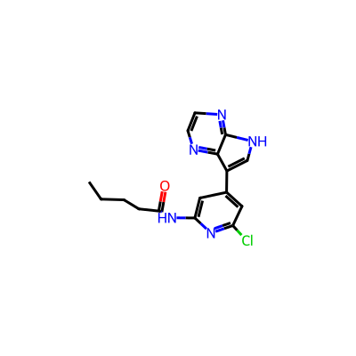 CCCCC(=O)Nc1cc(-c2c[nH]c3nccnc23)cc(Cl)n1